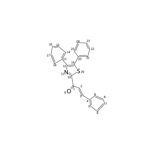 O=C(C=Cc1ccccc1)c1nc(-c2ccccc2)c(-c2ccccc2)s1